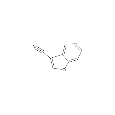 N#Cc1coc2cc[c]cc12